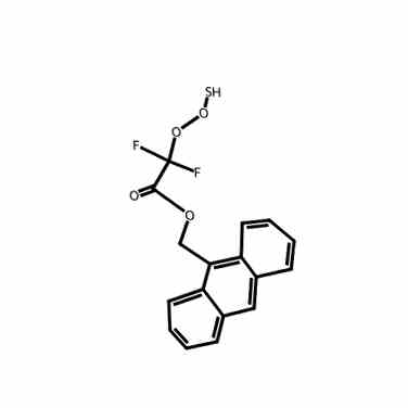 O=C(OCc1c2ccccc2cc2ccccc12)C(F)(F)OOS